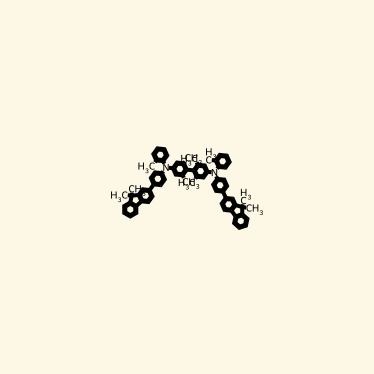 Cc1ccccc1N(c1ccc(-c2ccc3c(c2)C(C)(C)c2ccccc2-3)cc1)c1cc(C)c(-c2c(C)cc(N(c3ccc(-c4ccc5c(c4)C(C)(C)c4ccccc4-5)cc3)c3ccccc3C)cc2C)c(C)c1